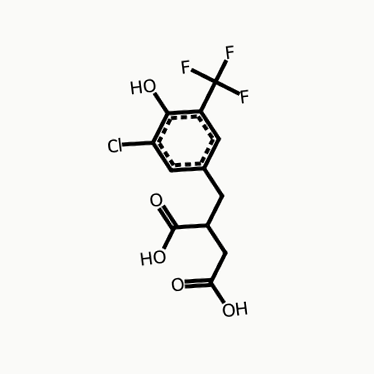 O=C(O)CC(Cc1cc(Cl)c(O)c(C(F)(F)F)c1)C(=O)O